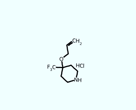 C=CCOC1(C(F)(F)F)CCNCC1.Cl